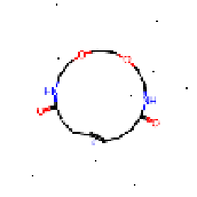 O=C1CC/C=C/CCC(=O)NCCOCCOCCN1